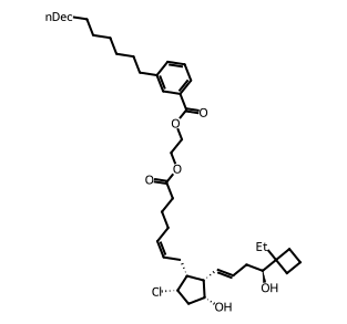 CCCCCCCCCCCCCCCCc1cccc(C(=O)OCCOC(=O)CCC/C=C\C[C@@H]2[C@H](/C=C/C[C@H](O)C3(CC)CCC3)[C@H](O)C[C@@H]2Cl)c1